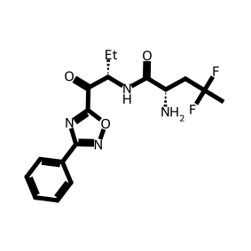 CC[C@H](NC(=O)[C@@H](N)CC(C)(F)F)C(=O)c1nc(-c2ccccc2)no1